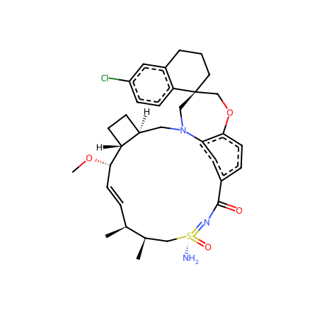 CO[C@H]1/C=C/[C@H](C)[C@H](C)C[S@](N)(=O)=NC(=O)c2ccc3c(c2)N(C[C@@H]2CC[C@H]21)C[C@@]1(CCCc2cc(Cl)ccc21)CO3